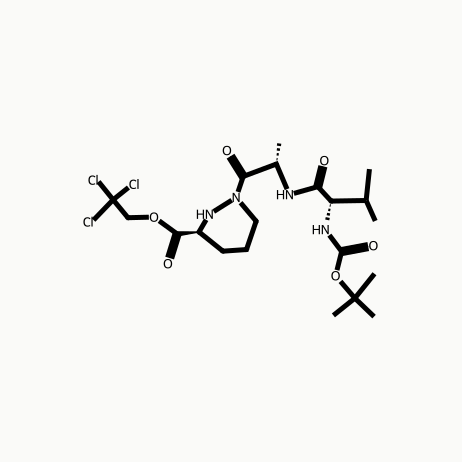 CC(C)[C@H](NC(=O)OC(C)(C)C)C(=O)N[C@@H](C)C(=O)N1CCC[C@@H](C(=O)OCC(Cl)(Cl)Cl)N1